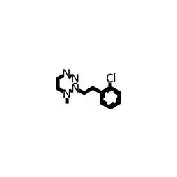 CN1CCN=NN1CCc1ccccc1Cl